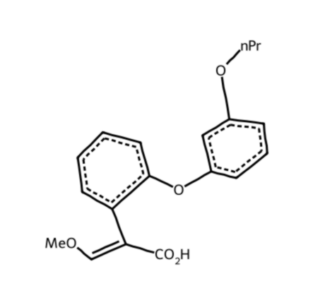 CCCOc1cccc(Oc2ccccc2/C(=C\OC)C(=O)O)c1